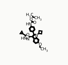 CCOc1ccc2c(C3=NNC(C4CC4)O3)c(-c3ccc(NC(=O)OC(C)C)cc3)n(C3CCC3)c2c1